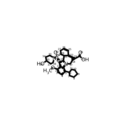 COc1ccc(C2CCCCC2)c2c1cc1n2CC2=C(C(=O)O)C2=C2C=CC[C@@H](S(=O)(=O)N3CCC(O)CC3)C21